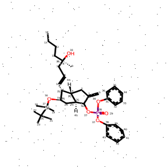 C=C1C[C@H]2[C@@H](C=CC[C@](C)(O)CCCC)[C@H](O[Si](C)(C)C(C)(C)C)C[C@@H]2C1OP(=O)(Oc1ccccc1)Oc1ccccc1